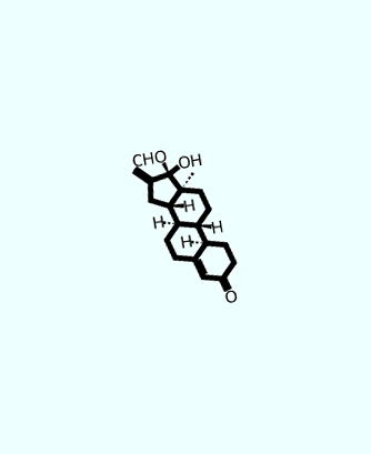 C=C1C[C@H]2[C@@H]3CCC4=CC(=O)CC[C@@H]4[C@H]3CC[C@]2(C)[C@]1(O)C=O